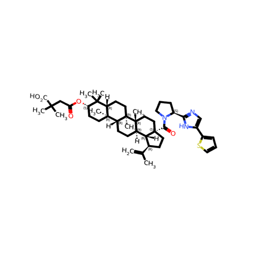 C=C(C)[C@@H]1CC[C@]2(C(=O)N3CCC[C@H]3c3ncc(-c4cccs4)[nH]3)CC[C@]3(C)[C@H](CC[C@@H]4[C@@]5(C)CC[C@H](OC(=O)CC(C)(C)C(=O)O)C(C)(C)[C@@H]5CC[C@]43C)[C@@H]12